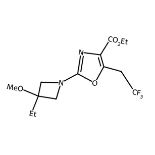 CCOC(=O)c1nc(N2CC(CC)(OC)C2)oc1CC(F)(F)F